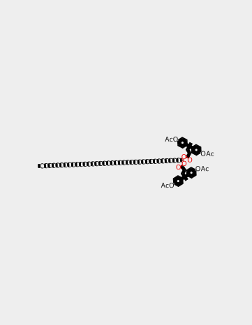 C=C=C=C=C=C=C=C=C=C=C=C=C=C=C=C=C=C=C=C=C=C=C=C=C=C=C=C=C=C=C=C=C=C=C=C=C=C(OC(=O)CCC(C)(c1ccc(OC(C)=O)cc1)c1ccc(OC(C)=O)cc1)OC(=O)CCC(C)(c1ccc(OC(C)=O)cc1)c1ccc(OC(C)=O)cc1